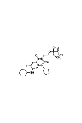 CCC(C)(OCCn1c(=O)c2cc(F)c(NC3CCCCC3)cc2n(C2CCCC2)c1=O)C(=O)O